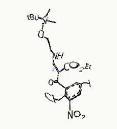 CCOC(=O)/C(=C\NCCO[Si](C)(C)C(C)(C)C)C(=O)c1cc(I)cc([N+](=O)[O-])c1Cl